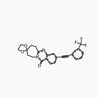 O=c1c2ccc(C#Cc3cccc(C(F)(F)F)c3)cc2nc2n1CCC1(CC2)OCCO1